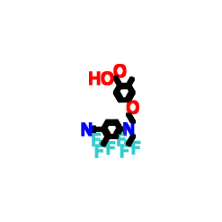 Cc1cc(OCCN(CC(F)(F)F)c2ccc(C#N)c(C(F)(F)F)c2)ccc1C(=O)O